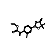 C=C1OB(c2ccc(NC(=O)OC(C)(C)C)c(C)c2)OC1(C)C